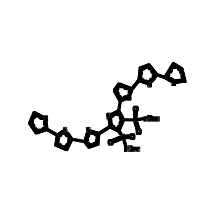 CCCCCCCCCCS(=O)(=O)c1c(-c2ccc(-c3ccc(-c4cccs4)s3)s2)sc(-c2ccc(-c3ccc(-c4cccs4)s3)s2)c1S(=O)(=O)CCCCCCCCCC